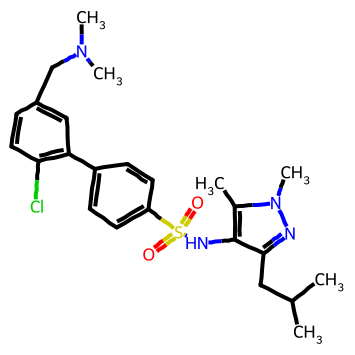 Cc1c(NS(=O)(=O)c2ccc(-c3cc(CN(C)C)ccc3Cl)cc2)c(CC(C)C)nn1C